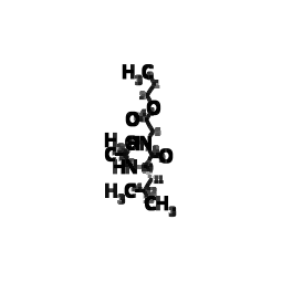 CCCOC(=O)CNC(=O)[C@H](CC(C)C)NC(C)=O